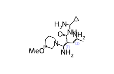 CO[C@@H]1CCCN(/C(N)=C(/C=C(/C)N)C(=O)NC(N)C2CC2)C1